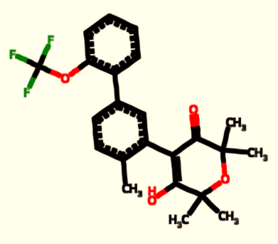 Cc1ccc(-c2ccccc2OC(F)(F)F)cc1C1=C(O)C(C)(C)OC(C)(C)C1=O